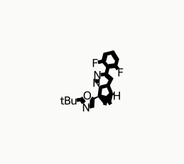 CC(C)(C)c1ncc([C@@]23CC[C@@H](C4C=C(c5c(F)cccc5F)N=NC42)C3(C)C)o1